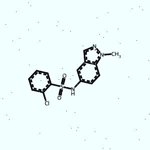 Cn1ncc2cc(NS(=O)(=O)c3ccccc3Cl)ccc21